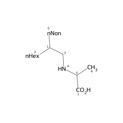 CCCCCCCCCC(CCCCCC)CNC(C)C(=O)O